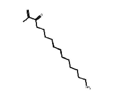 C=C(C)C(=O)CCCCCCCCCCCCN